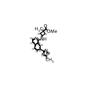 COC(=O)C1(C)CC(Nc2nccc3ccc(-c4noc(C)n4)cc23)C1